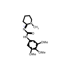 COc1cc(NC(=O)/N=C2/CCCCN2C)cc(OC)c1OC